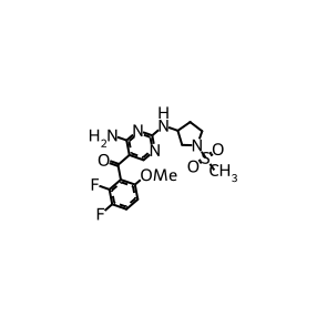 COc1ccc(F)c(F)c1C(=O)c1cnc(NC2CCN(S(C)(=O)=O)C2)nc1N